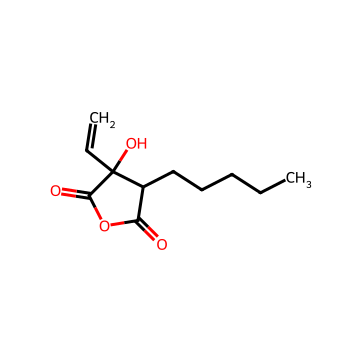 C=CC1(O)C(=O)OC(=O)C1CCCCC